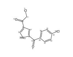 O=C(CCl)c1c[nH]c(C(=O)c2ccc(Cl)cc2)c1